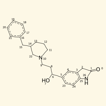 O=C1Cc2cc(C(O)CCN3CCCC(Cc4ccccc4)C3)ccc2N1